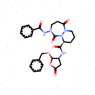 O=C1C[C@H](NC(=O)[C@@H]2CCCN3C(=O)CCN(NC(=O)c4ccccc4)C(=O)N23)C(OCc2ccccc2)O1